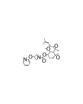 CO[C@H]1C([C@@]2(C)O[C@@H]2CC=C(C)C)[C@]2(CC[C@H]1OC(=O)N1CC(Oc3ccccn3)C1)CO2